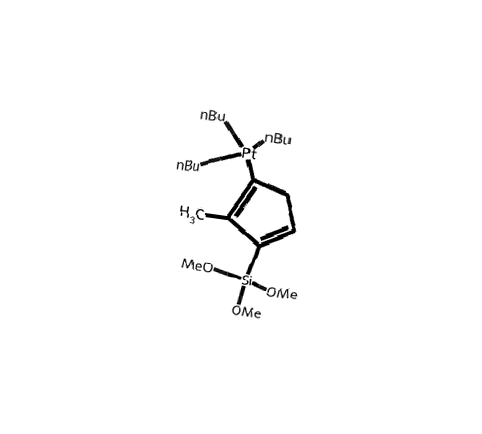 CCC[CH2][Pt]([CH2]CCC)([CH2]CCC)[C]1=C(C)C([Si](OC)(OC)OC)=CC1